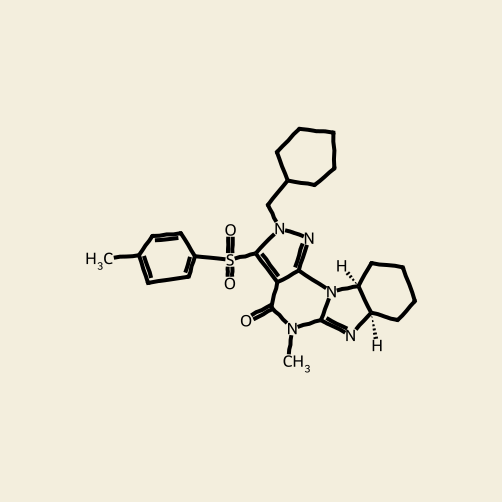 Cc1ccc(S(=O)(=O)c2c3c(nn2CC2CCCCC2)N2C(=N[C@@H]4CCCC[C@@H]42)N(C)C3=O)cc1